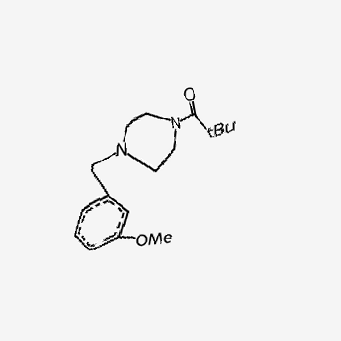 COc1cccc(CN2CCN(C(=O)C(C)(C)C)CC2)c1